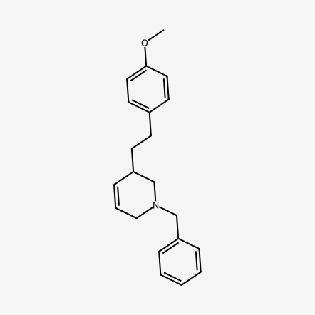 COc1ccc(CCC2C=CCN(Cc3ccccc3)C2)cc1